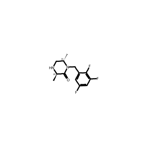 C[C@H]1NC[C@H](C)N(Cc2cc(F)cc(F)c2F)C1=O